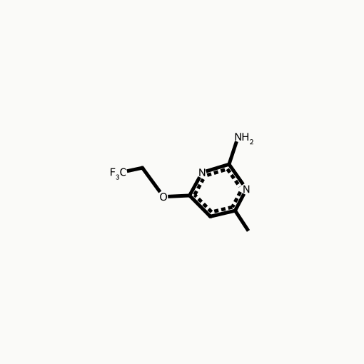 Cc1cc(OCC(F)(F)F)nc(N)n1